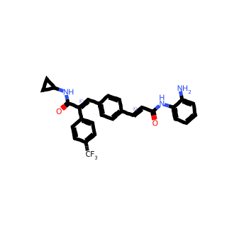 Nc1ccccc1NC(=O)/C=C/c1ccc(/C=C(/C(=O)NC2CC2)c2ccc(C(F)(F)F)cc2)cc1